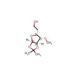 CO[C@@H]1[C@H]2OC(C)(C)O[C@H]2O[C@@H]1CCO